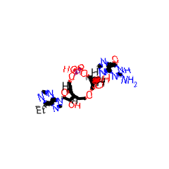 CCc1ncnc2c1ncn2[C@@H]1O[C@@H]2COP(=O)(O)O[C@@H]3[C@H](O)C(OCC[C@H]2[C@H]1O)O[C@H]3n1cnc2c(=O)[nH]c(N)nc21